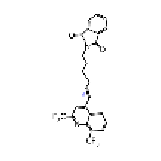 O=C1c2ccccc2C(=O)N1CCCC/C=C/c1cc(C(F)(F)F)nc2c(C(F)(F)F)cccc12